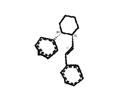 C(=C\[C@@H]1CCCC[C@H]1c1ccccc1)/c1ccccc1